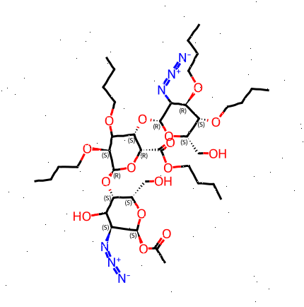 CCCCOC(=O)[C@@H]1O[C@@H](O[C@H]2C(O)[C@H](N=[N+]=[N-])[C@H](OC(C)=O)O[C@H]2CO)[C@@H](OCCCC)C(OCCCC)[C@@H]1O[C@H]1O[C@@H](CO)[C@@H](OCCCC)[C@H](OCCCC)C1N=[N+]=[N-]